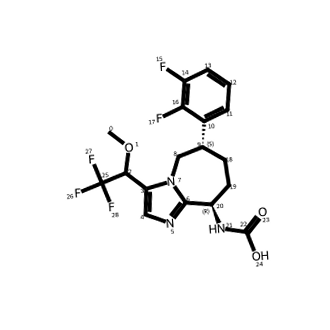 COC(c1cnc2n1C[C@H](c1cccc(F)c1F)CC[C@H]2NC(=O)O)C(F)(F)F